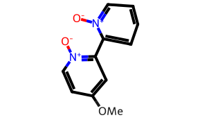 COc1cc[n+]([O-])c(-c2cccc[n+]2[O-])c1